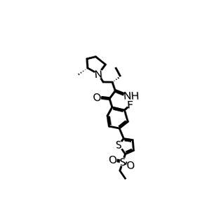 CC[C@@H](CN1CCC[C@H]1C)C(=N)C(=O)c1ccc(-c2ccc(S(=O)(=O)CC)s2)cc1F